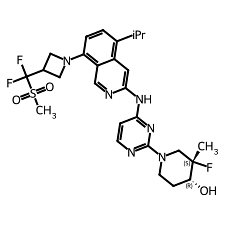 CC(C)c1ccc(N2CC(C(F)(F)S(C)(=O)=O)C2)c2cnc(Nc3ccnc(N4CC[C@@H](O)[C@@](C)(F)C4)n3)cc12